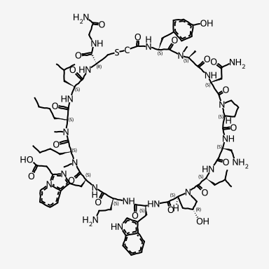 CCCC[C@H]1C(=O)N(C)[C@@H](CCCC)C(=O)N[C@@H](CC(C)C)C(=O)N[C@H](C(=O)NCC(N)=O)CSCC(=O)N[C@@H](Cc2ccc(O)cc2)C(=O)N(C)[C@@H](C)C(=O)N[C@@H](CC(N)=O)C(=O)N2CCC[C@H]2C(=O)N[C@@H](CN)C(=O)N[C@@H](CC(C)C)C(=O)N2C[C@H](O)C[C@H]2C(=O)N[C@@H](Cc2c[nH]c3ccccc23)C(=O)N[C@@H](CCN)C(=O)N[C@@H](Cc2nc(CC(=O)O)n3ccccc23)C(=O)N1C